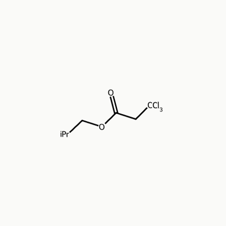 CC(C)COC(=O)CC(Cl)(Cl)Cl